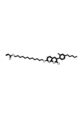 C=CC(=O)OCCCCCCCCCCCCOc1ccc2cc(-c3ccc(CCCCC)cc3C)c(=O)oc2n1